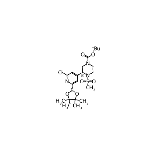 CC(C)(C)OC(=O)N1CCN(S(C)(=O)=O)[C@@H](c2cc(Cl)nc(B3OC(C)(C)C(C)(C)O3)c2)C1